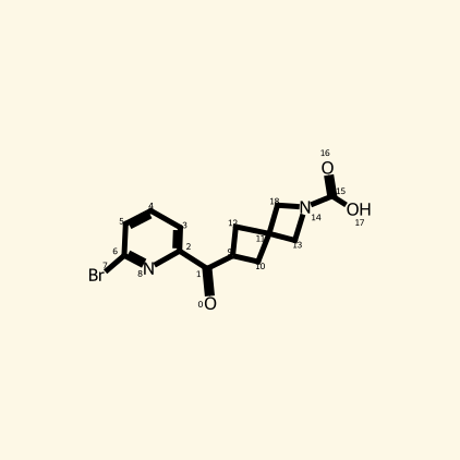 O=C(c1cccc(Br)n1)C1CC2(C1)CN(C(=O)O)C2